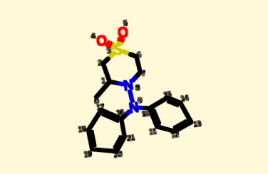 CC1CS(=O)(=O)CCN1N(c1ccccc1)c1ccccc1